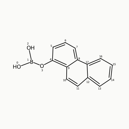 OB(O)Oc1cccc2c1ccc1ccccc12